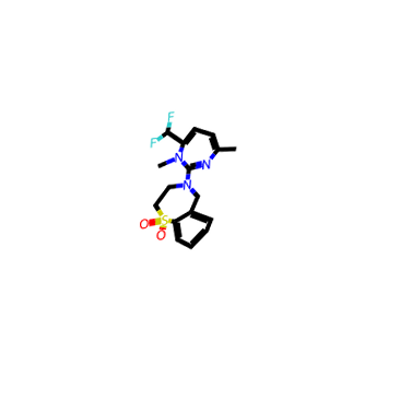 CC1=CC=C(C(F)F)N(C)C(N2CCS(=O)(=O)c3ccccc3C2)=N1